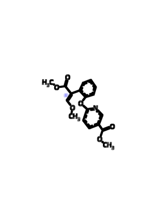 CO/C=C(/C(=O)OC)c1ccccc1Oc1ccc(C(=O)OC)cn1